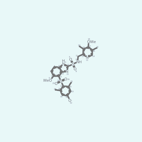 COc1ccc2[nH]c(S(=O)(=O)NCc3ncc(C)c(OC)c3C)nc2c1S(=O)(=O)c1c(C)cc([O])cc1C